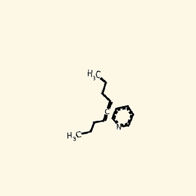 CCCC=C=CCCC.c1ccncc1